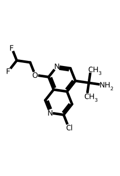 CC(C)(N)c1cnc(OCC(F)F)c2cnc(Cl)cc12